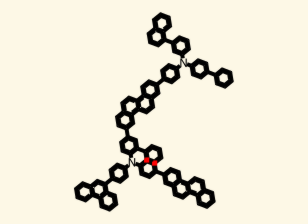 c1ccc(-c2ccc(N(c3ccc(-c4ccc5c(ccc6c7cc(-c8ccc(N(c9ccc(-c%10ccc%11c(ccc%12c%13ccccc%13ccc%11%12)c%10)cc9)c9ccc(-c%10cc%11ccccc%11c%11ccccc%10%11)cc9)c(-c9ccccc9)c8)ccc7ccc56)c4)cc3)c3cccc(-c4cccc5ccccc45)c3)cc2)cc1